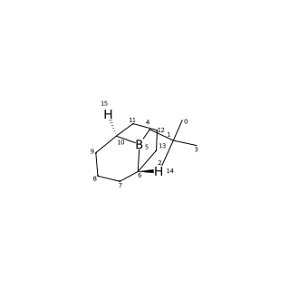 CC(C)(C)CB1[C@H]2CCC[C@H]1CCC2